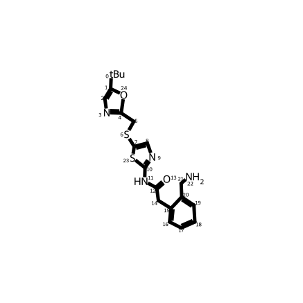 CC(C)(C)c1cnc(CSc2cnc(NC(=O)Cc3ccccc3CN)s2)o1